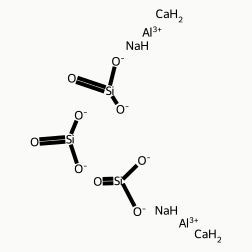 O=[Si]([O-])[O-].O=[Si]([O-])[O-].O=[Si]([O-])[O-].[Al+3].[Al+3].[CaH2].[CaH2].[NaH].[NaH]